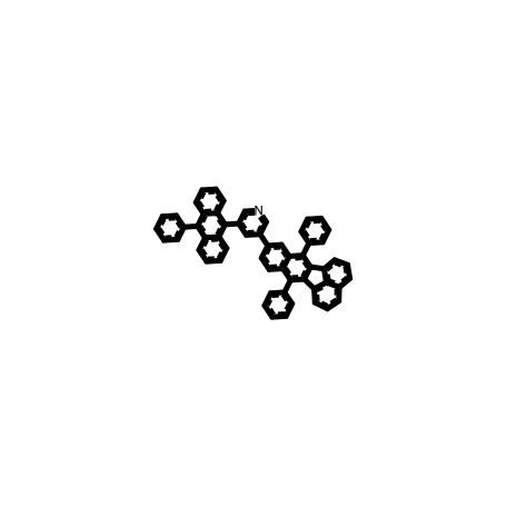 c1ccc(-c2c3c(c(-c4ccccc4)c4cc(-c5cncc(-c6c7ccccc7c(-c7ccccc7)c7ccccc67)c5)ccc24)-c2cccc4cccc-3c24)cc1